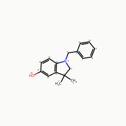 CC1(C)CN(Cc2ccccc2)c2ccc(O)cc21